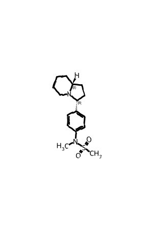 CN(c1ccc([C@H]2CC[C@H]3CCCCN32)cc1)S(C)(=O)=O